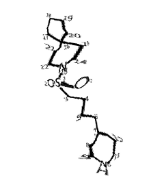 O=S(=O)(CCC[CH]C1CCNCC1)N1CCC2(CCCC2)CC1